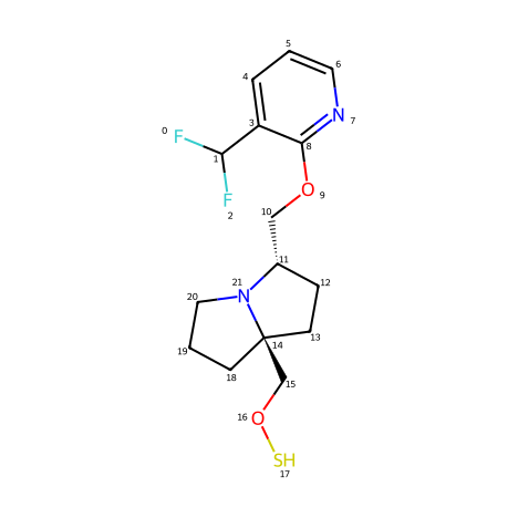 FC(F)c1cccnc1OC[C@@H]1CC[C@]2(COS)CCCN12